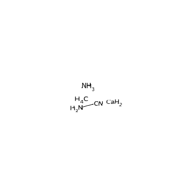 C.N.N#CN.[CaH2]